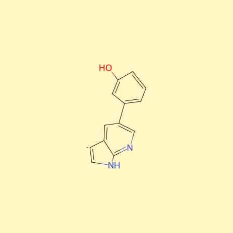 Oc1cccc(-c2cnc3[nH]c[c]c3c2)c1